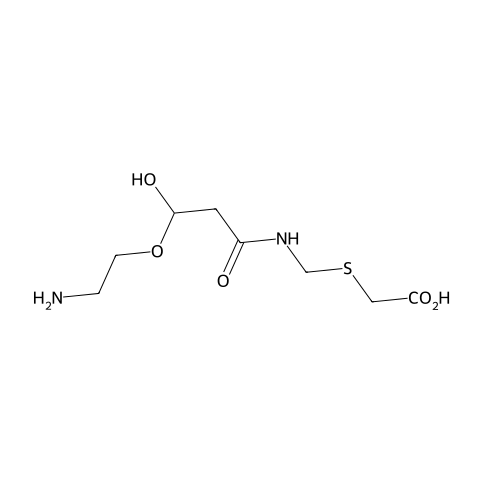 NCCOC(O)CC(=O)NCSCC(=O)O